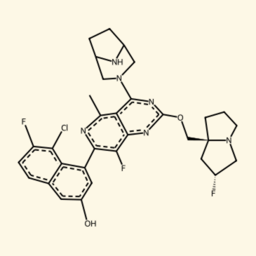 Cc1nc(-c2cc(O)cc3ccc(F)c(Cl)c23)c(F)c2nc(OC[C@@]34CCCN3C[C@H](F)C4)nc(N3CC4CCC(C3)N4)c12